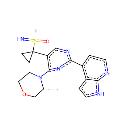 C[C@@H]1COCCN1c1nc(-c2ccnc3[nH]ccc23)ncc1C1([S@@](C)(=N)=O)CC1